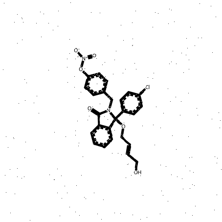 O=C1c2ccccc2C(OCC=CCO)(c2ccc(Cl)cc2)N1Cc1ccc(O[N+](=O)[O-])cc1